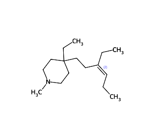 CC/C=C(/CC)CCC1(CC)CCN(C)CC1